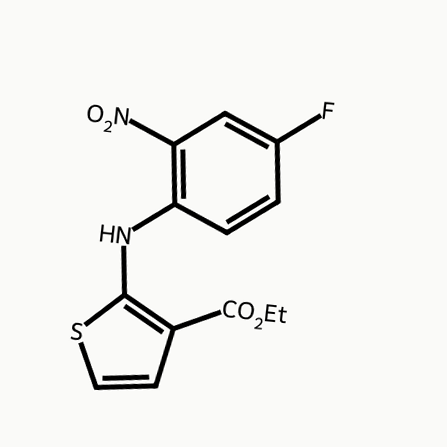 CCOC(=O)c1ccsc1Nc1ccc(F)cc1[N+](=O)[O-]